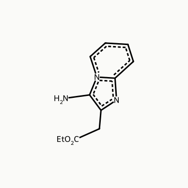 CCOC(=O)Cc1nc2ccccn2c1N